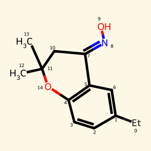 CCc1ccc2c(c1)C(=NO)CC(C)(C)O2